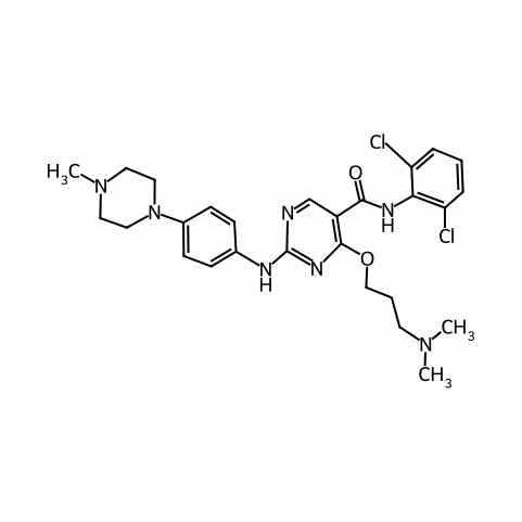 CN(C)CCCOc1nc(Nc2ccc(N3CCN(C)CC3)cc2)ncc1C(=O)Nc1c(Cl)cccc1Cl